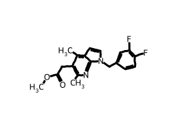 COC(=O)Cc1c(C)nc2c(ccn2Cc2ccc(F)c(F)c2)c1C